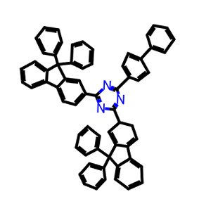 C1=C2C(=CC(c3nc(-c4ccc(-c5ccccc5)cc4)nc(-c4ccc5c(c4)C(c4ccccc4)(c4ccccc4)c4ccccc4-5)n3)C1)C(c1ccccc1)(c1ccccc1)c1ccccc12